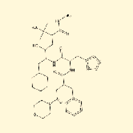 CCCCNC(=O)C(CC(O)C(CC1CCCCC1)NC(=O)C(Cc1cscn1)NC(=O)C(CC(=O)N1CCOCC1)Cc1ccccc1)C(C)(C)O